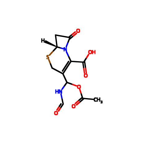 CC(=O)OC(NC=O)C1=C(C(=O)O)N2C(=O)C[C@H]2SC1